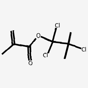 C=C(C)C(=O)OC(Cl)(Cl)C(C)(C)Cl